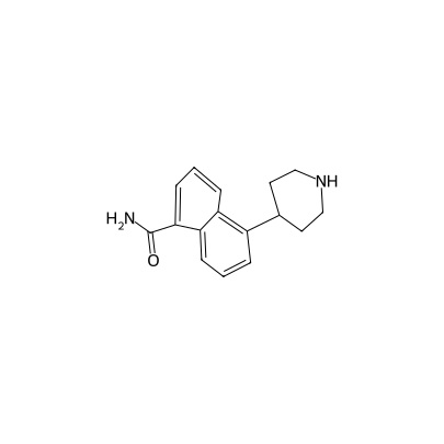 NC(=O)c1cccc2c(C3CCNCC3)cccc12